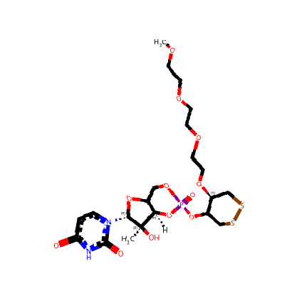 COCCOCCOCCO[C@H]1CSSCC1OP1(=O)OCC2O[C@@H](n3ccc(=O)[nH]c3=O)[C@](C)(O)[C@@H]2O1